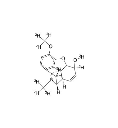 [2H]OC1([2H])C=C[C@H]2[C@@H]3N(C([2H])([2H])[2H])CC[C@@]24c2c(ccc(OC([2H])([2H])[2H])c2OC14)C3([2H])[2H]